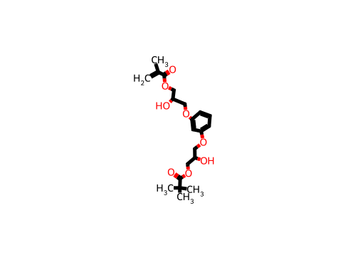 C=C(C)C(=O)OCC(O)COc1cccc(OCC(O)COC(=O)C(C)(C)C)c1